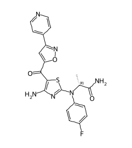 C[C@H](C(N)=O)N(c1ccc(F)cc1)c1nc(N)c(C(=O)c2cc(-c3ccncc3)no2)s1